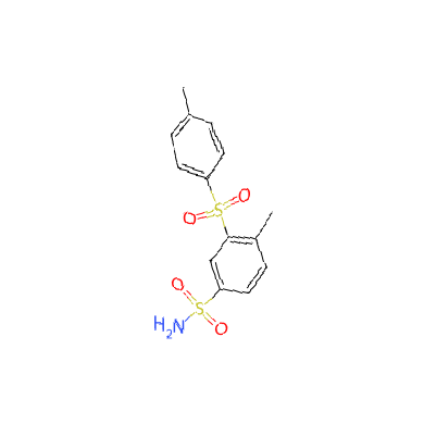 Cc1ccc(S(=O)(=O)c2cc(S(N)(=O)=O)ccc2C)cc1